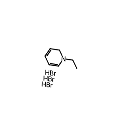 Br.Br.Br.CCN1C=CC=CC1